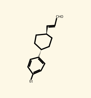 CCc1ccc([C@H]2CC[C@H](C=CC=O)CC2)cc1